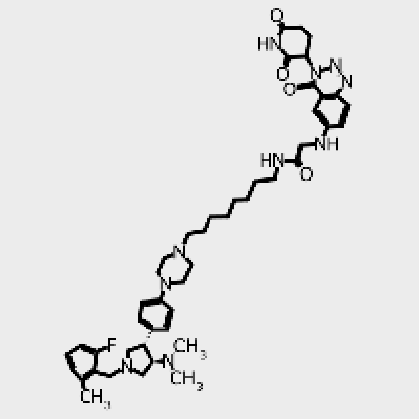 Cc1cccc(F)c1CN1C[C@H](c2ccc(N3CCN(CCCCCCCCNC(=O)CNc4ccc5nnn(C6CCC(=O)NC6=O)c(=O)c5c4)CC3)cc2)[C@@H](N(C)C)C1